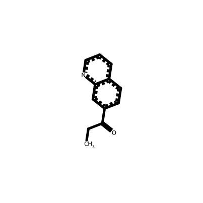 CCC(=O)c1ccc2cccnc2c1